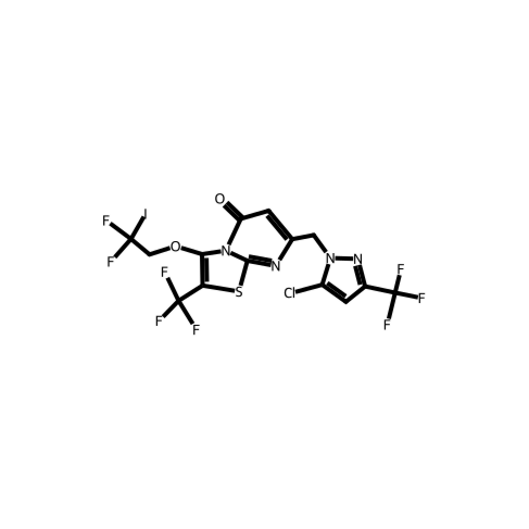 O=c1cc(Cn2nc(C(F)(F)F)cc2Cl)nc2sc(C(F)(F)F)c(OCC(F)(F)I)n12